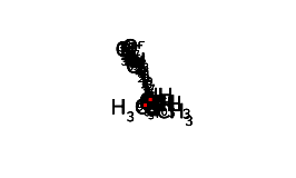 CC(C)c1cccc(C(C)C)c1NC(=O)NCCCCCCCSc1nc2cc([N+](=O)[O-])ccc2o1